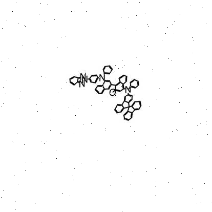 c1ccc(N(c2ccc(-n3nc4ccccc4n3)cc2)c2cc3c(oc4cc(N(c5ccccc5)c5ccc6c(c5)-c5ccccc5C65c6ccccc6-c6ccccc65)c5ccccc5c43)c3ccccc23)cc1